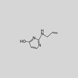 C=CCNc1nccc(O)n1